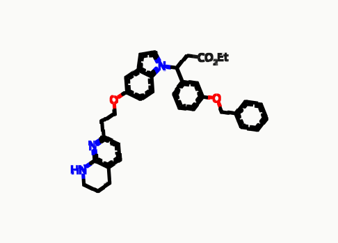 CCOC(=O)CC(c1cccc(OCc2ccccc2)c1)n1ccc2cc(OCCc3ccc4c(n3)NCCC4)ccc21